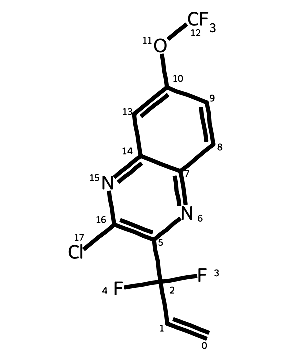 C=CC(F)(F)c1nc2ccc(OC(F)(F)F)cc2nc1Cl